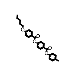 CCCCCOc1ccc(C(=O)Oc2ccc(C(=O)Oc3ccc(C)cc3)cc2)cc1